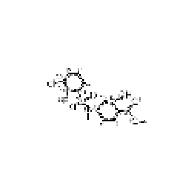 COC(=O)c1ccc(NS(=O)(=O)c2cccc(Cl)c2F)cc1O